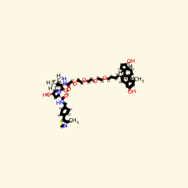 Cc1cc(O)cc2c1[C@H]1CC[C@H]3[C@@H](CC[C@@H]3O)[C@H]1[C@H](CCCCOCCOCCOCCOCC(=O)N[C@H](C(=O)N1C[C@H](O)C[C@H]1C(=O)NCc1ccc(-c3scnc3C)cc1)C(C)(C)C)C2